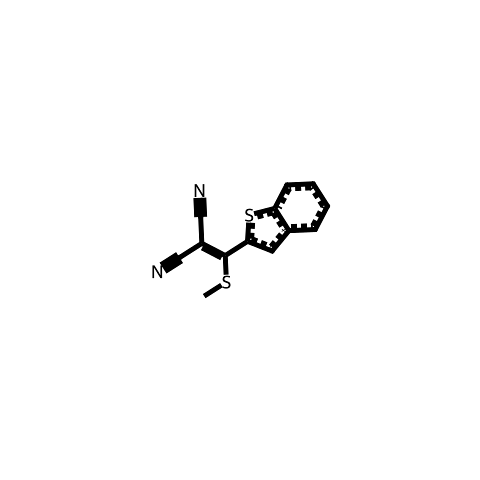 CSC(=C(C#N)C#N)c1cc2ccccc2s1